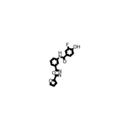 O=C(Nc1cccc(-c2nnc(-c3ccco3)o2)c1)c1ccc(O)c(F)c1